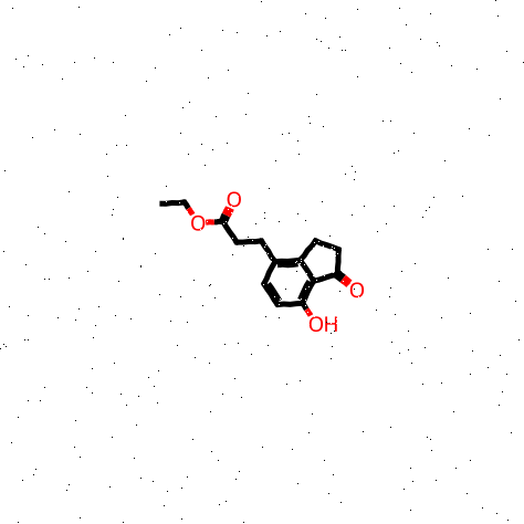 CCOC(=O)CCc1ccc(O)c2c1CCC2=O